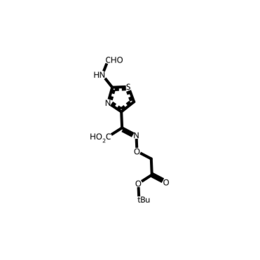 CC(C)(C)OC(=O)CON=C(C(=O)O)c1csc(NC=O)n1